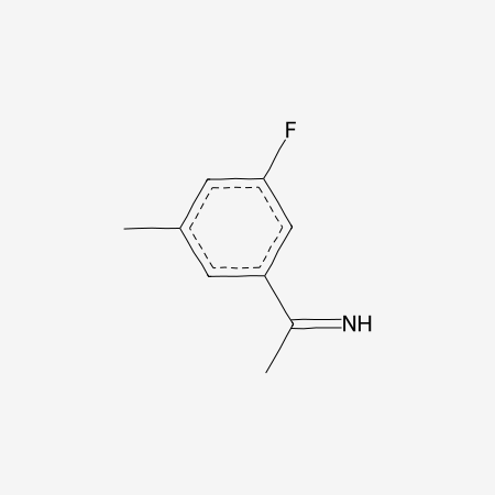 CC(=N)c1cc(C)cc(F)c1